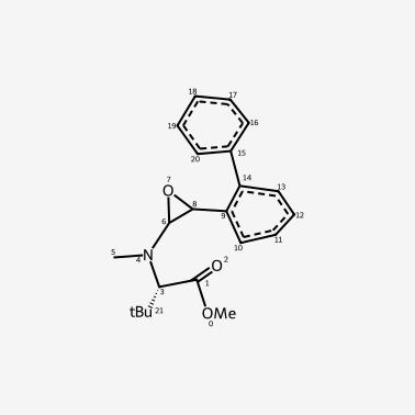 COC(=O)[C@@H](N(C)C1OC1c1ccccc1-c1ccccc1)C(C)(C)C